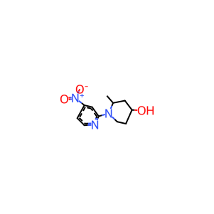 CC1CC(O)CCN1c1cc([N+](=O)[O-])ccn1